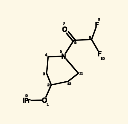 CC(C)OC1CCN(C(=O)C(F)F)CC1